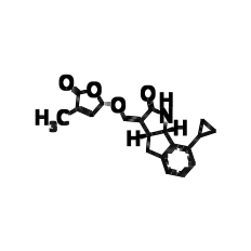 CC1=C[C@@H](OC=C2C(=O)N[C@@H]3c4c(cccc4C4CC4)C[C@H]23)OC1=O